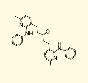 Cc1ccc(CCC(=O)CCc2ccc(C)nc2Nc2ccccc2)c(Nc2ccccc2)n1